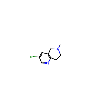 CN1CCc2ncc(Br)cc2C1